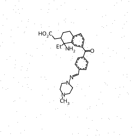 CCC1(N)c2cc(C(=O)c3ccc(C=NN4CCN(C)CC4)cc3)ccc2CCC1CC(=O)O